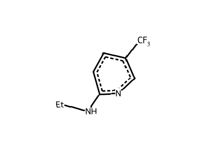 [CH2]CNc1ccc(C(F)(F)F)cn1